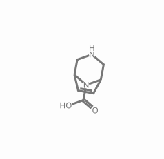 O=C(O)N1C2C=CC1CNC2